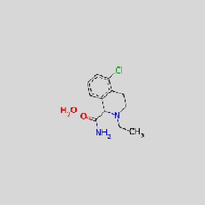 CCN1CCc2c(Cl)cccc2C1C(N)=O.O